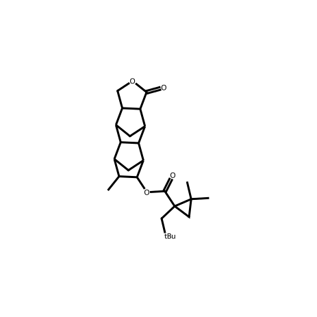 CC1C2CC(C1OC(=O)C1(CC(C)(C)C)CC1(C)C)C1C3CC(C4COC(=O)C43)C21